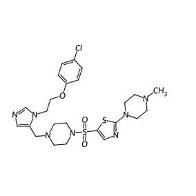 CN1CCN(c2ncc(S(=O)(=O)N3CCN(Cc4cncn4CCOc4ccc(Cl)cc4)CC3)s2)CC1